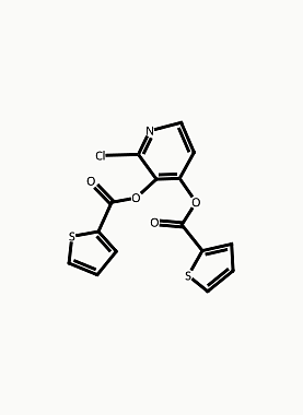 O=C(Oc1ccnc(Cl)c1OC(=O)c1cccs1)c1cccs1